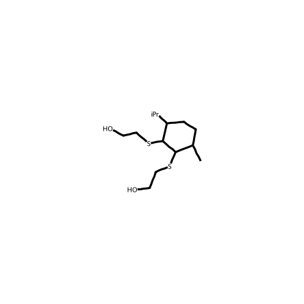 CC(C)C1CCC(C)C(SCCO)C1SCCO